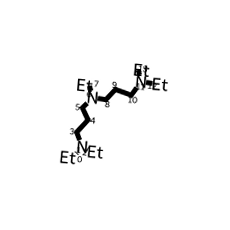 CCN(CC)CCCN(CC)CCCN(CC)CC